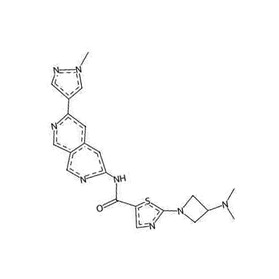 CN(C)C1CN(c2ncc(C(=O)Nc3cc4cc(-c5cnn(C)c5)ncc4cn3)s2)C1